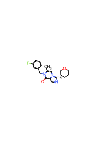 Cc1cn2c([C@H]3CCCOC3)ncc2c(=O)n1Cc1cccc(F)c1